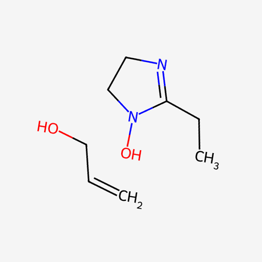 C=CCO.CCC1=NCCN1O